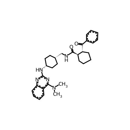 CN(C)c1nc(N[C@H]2CC[C@@H](CNC(=O)[C@@H]3CCCC[C@H]3C(=O)c3ccccc3)CC2)nc2ccccc12